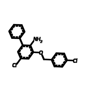 Nc1c(OCc2ccc(Cl)cc2)cc(Cl)cc1-c1ccccc1